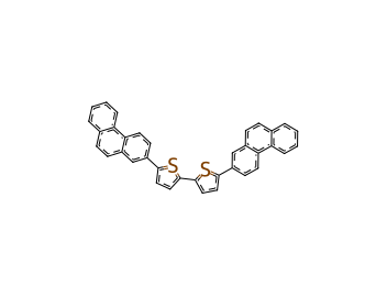 c1ccc2c(c1)ccc1cc(-c3ccc(-c4ccc(-c5ccc6c(ccc7ccccc76)c5)s4)s3)ccc12